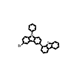 Brc1ccc2c(c1)c1cc(-c3cccc4c3sc3ccccc34)ccc1n2-c1ccccc1